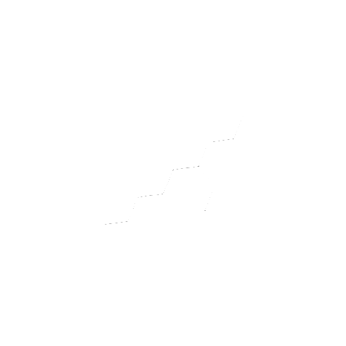 C[CH]OC(CCCCC)OCC